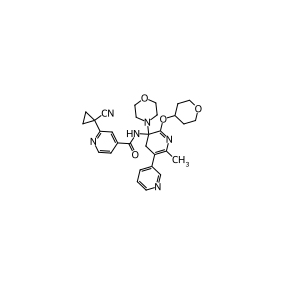 CC1=C(c2cccnc2)CC(NC(=O)c2ccnc(C3(C#N)CC3)c2)(N2CCOCC2)C(OC2CCOCC2)=N1